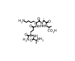 C[C@H](N)C(=O)N[C@H](CCC(=O)N[C@@H](CCCCN)C(=O)N[C@H](C)C(=O)N[C@H](C)C(=O)O)C(N)=O